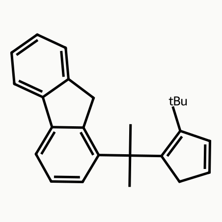 CC(C)(C)C1=C(C(C)(C)c2cccc3c2Cc2ccccc2-3)CC=C1